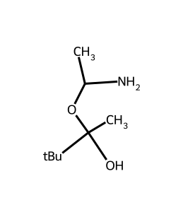 CC(N)OC(C)(O)C(C)(C)C